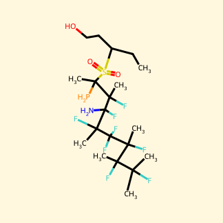 CCC(CCO)S(=O)(=O)C(C)(P)C(C)(F)C(N)(F)C(C)(F)C(F)(F)C(C)(F)C(C)(F)C(C)(C)F